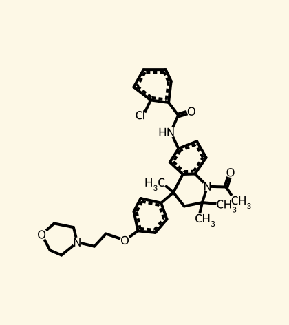 CC(=O)N1c2ccc(NC(=O)c3ccccc3Cl)cc2C(C)(c2ccc(OCCN3CCOCC3)cc2)CC1(C)C